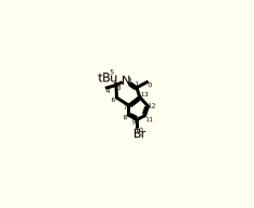 CC1=NC(C)(C(C)(C)C)Cc2cc(Br)ccc21